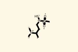 CC(CCN(S)S(C)(=O)=O)N(C)C